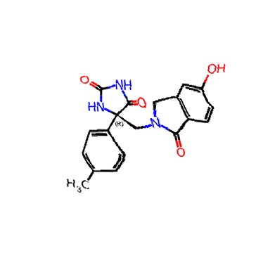 Cc1ccc([C@]2(CN3Cc4cc(O)ccc4C3=O)NC(=O)NC2=O)cc1